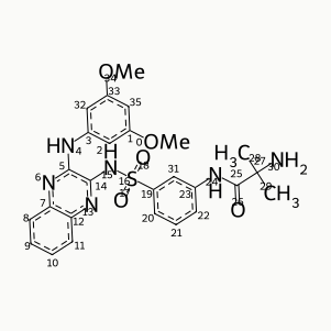 COc1cc(Nc2nc3ccccc3nc2NS(=O)(=O)c2cccc(NC(=O)C(C)(C)N)c2)cc(OC)c1